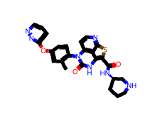 Cc1cc(Oc2cccnn2)ccc1N1C(=O)Nc2c(C(=O)N[C@@H]3CCCNC3)sc3nccc1c23